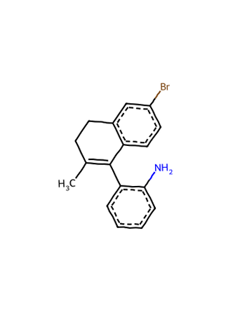 CC1=C(c2ccccc2N)c2ccc(Br)cc2CC1